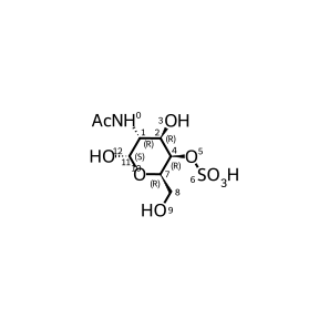 CC(=O)N[C@@H]1[C@@H](O)[C@@H](OS(=O)(=O)O)[C@@H](CO)O[C@@H]1O